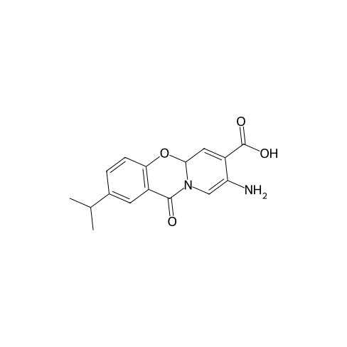 CC(C)c1ccc2c(c1)C(=O)N1C=C(N)C(C(=O)O)=CC1O2